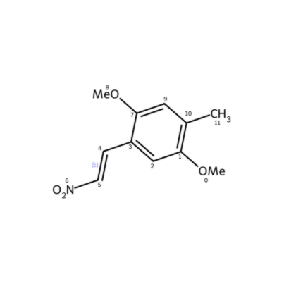 COc1cc(/C=C/[N+](=O)[O-])c(OC)cc1C